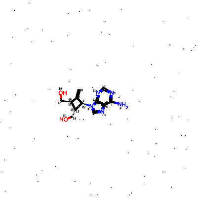 C=C1[C@@H](n2cnc3c(N)ncnc32)[C@H](CO)[C@H]1CO